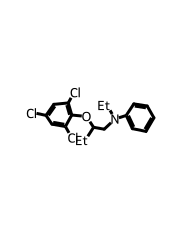 CCC(CN(CC)c1ccccc1)Oc1c(Cl)cc(Cl)cc1Cl